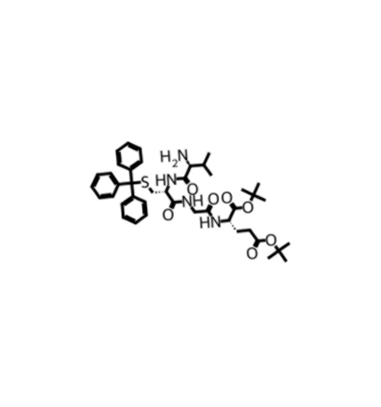 CC(C)[C@H](N)C(=O)N[C@@H](CSC(c1ccccc1)(c1ccccc1)c1ccccc1)C(=O)NCC(=O)N[C@@H](CCC(=O)OC(C)(C)C)C(=O)OC(C)(C)C